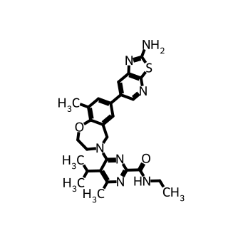 CCNC(=O)c1nc(C)c(C(C)C)c(N2CCOc3c(C)cc(-c4cnc5sc(N)nc5c4)cc3C2)n1